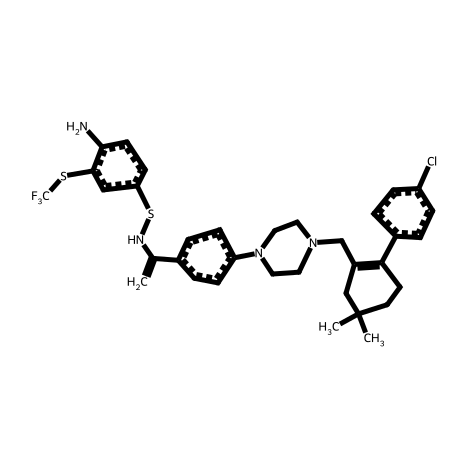 C=C(NSc1ccc(N)c(SC(F)(F)F)c1)c1ccc(N2CCN(CC3=C(c4ccc(Cl)cc4)CCC(C)(C)C3)CC2)cc1